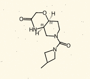 CC1CN(C(=O)N2CC[C@@H]3OCC(=O)N[C@@H]3C2)C1